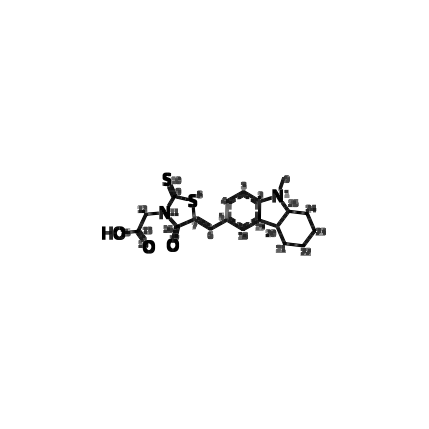 CN1c2ccc(/C=C3\SC(=S)N(CC(=O)O)C3=O)cc2C2CCCCC21